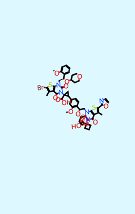 COc1cc(C2CC2(C(=O)O)n2c(=O)c3c(C)c(Br)sc3n(C[C@H](OC3CCOCC3)c3ccccc3OC)c2=O)ccc1C(Cn1c(=O)n(C2(C(=O)O)CCC2)c(=O)c2c(C)c(-c3ncco3)sc21)OC1CCOCC1